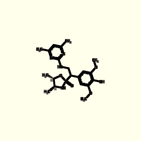 COc1cc(C(CNc2nc(C)cc(C)n2)P2(=O)N[C@@H](C)[C@H](C)O2)cc(OC)c1O